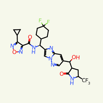 O=C(N[C@H](c1cn2ncc(C(O)C3CC(C(F)(F)F)NC3=O)cc2n1)C1CCC(F)(F)CC1)c1nonc1C1CC1